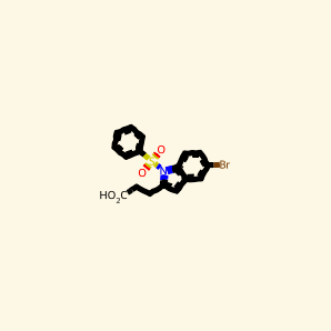 O=C(O)CCc1cc2cc(Br)ccc2n1S(=O)(=O)c1ccccc1